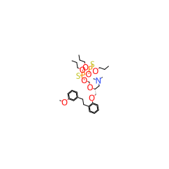 CCCOP(=S)(OCCC)OP(=S)(OCCC)OCO[C@@H](COc1ccccc1CCc1cccc(OC)c1)CN(C)C